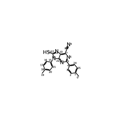 Cc1ccc(-c2nc(C#N)c3nc(S)n(-c4ccc(C)cc4)c3n2)cc1